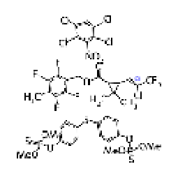 COP(=S)(OC)Oc1ccc(Sc2ccc(OP(=S)(OC)OC)cc2)cc1.Cc1c(F)c(F)c(COC(=O)C2C(/C=C(\Cl)C(F)(F)F)C2(C)C)c(F)c1F.O=[N+]([O-])c1c(Cl)c(Cl)cc(Cl)c1Cl